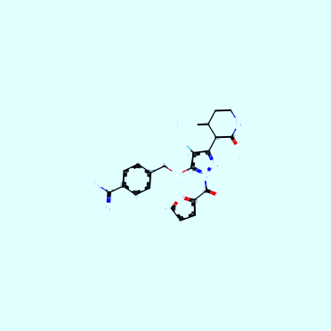 CC1CCNC(=O)C1c1nn(C(=O)c2ccco2)c(OCc2ccc(C(=N)N)cc2)c1F